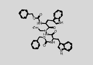 CCCCCCCCCCCN(NC(=O)C(Cc1c[nH]c2ccccc12)NC(=O)OCc1ccccc1)C(=O)C(Cc1c[nH]c2ccccc12)NC(=O)OCc1ccccc1